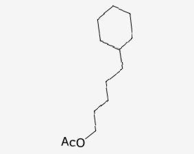 CC(=O)OCCCCCC1CCCCC1